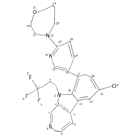 FC(F)(F)Cn1c2cnccc2c2cc(Cl)cc(-c3ccc(N4CCOCC4)nc3)c21